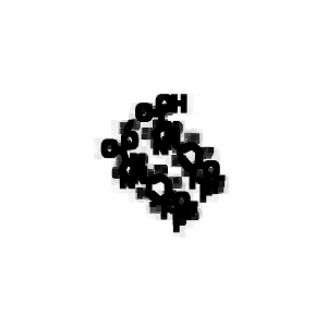 CCOC(=O)c1cnn(-c2ccc(OC(F)(F)F)cc2)n1.O=C(O)c1cnn(-c2ccc(OC(F)(F)F)cc2)n1